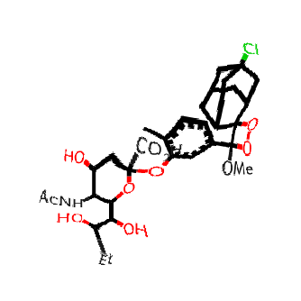 CCC(O)C(O)C1OC(Oc2cc(C3(OC)OOC34C3CC5CC4CC(Cl)(C5)C3)ccc2C)(C(=O)O)CC(O)C1NC(C)=O